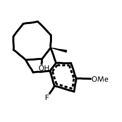 COc1cc(F)c2c(c1)[C@@]1(C)CCCCCC(C2)C1O